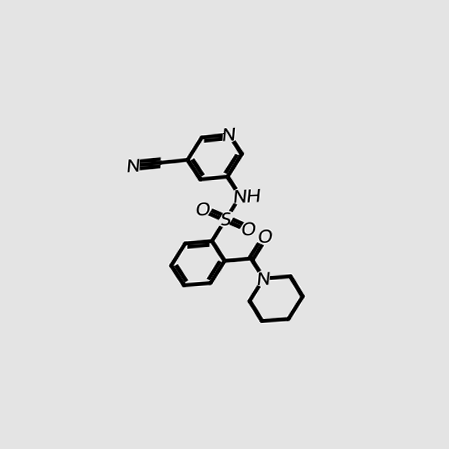 N#Cc1cncc(NS(=O)(=O)c2ccccc2C(=O)N2CCCCC2)c1